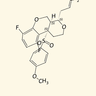 C=CC[C@@H]1OCC[C@@]2(S(=O)(=O)c3ccc(OC)cc3)c3c(F)ccc(F)c3OC[C@@H]12